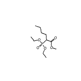 CCCCC(C(=O)OC)P(=O)(OCC)OCC